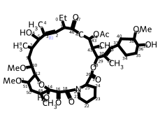 CCC1/C=C(\C)C(O)C(C)CC(OC)C2OC(O)(C(=O)C(=O)N3CCCCC3C(=O)OC(C(C)=CC3CCC(O)C(OC)C3)C(C)C(OC(C)=O)CC1=O)C(C)CC2OC